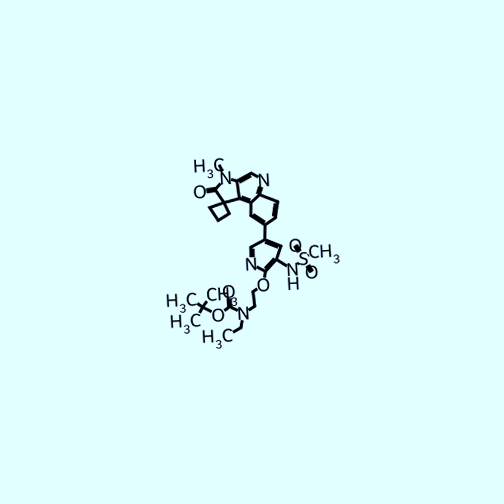 CCN(CCOc1ncc(-c2ccc3ncc4c(c3c2)C2(CCC2)C(=O)N4C)cc1NS(C)(=O)=O)C(=O)OC(C)(C)C